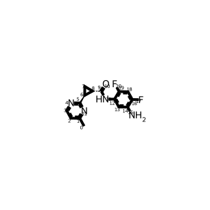 Cc1ccnc([C@H]2C[C@@H]2C(=O)Nc2cc(N)c(F)cc2F)n1